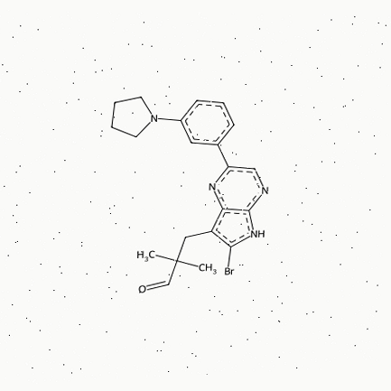 CC(C)(C=O)Cc1c(Br)[nH]c2ncc(-c3cccc(N4CCCC4)c3)nc12